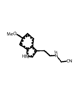 COc1ccc2c(CCNCC#N)c[nH]c2c1